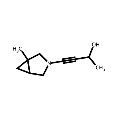 CC(O)C#CN1CC2CC2(C)C1